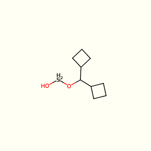 O[SiH2]OC(C1CCC1)C1CCC1